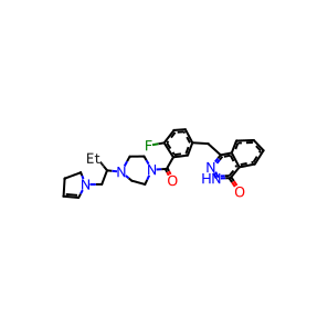 CCC(CN1C=CCC1)N1CCN(C(=O)c2cc(Cc3n[nH]c(=O)c4ccccc34)ccc2F)CC1